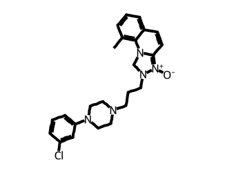 Cc1cccc2c1N1CN(CCCN3CCN(c4cccc(Cl)c4)CC3)[N+]([O-])=C1C=C2